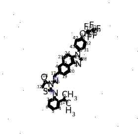 CC(C)c1ccccc1/N=C1\SCC(=O)N1/N=C/c1ccc2c(ccc3c2ncn3-c2ccc(OC(F)(F)C(F)(F)F)cc2)c1